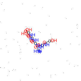 COc1nc(C(=O)Nc2ccc(C(=O)O)c(O)c2OC)ccc1NC(=O)c1ccc(NC(=O)[C@H](Cc2cnn[nH]2)NC(=O)c2ccc(NC(=O)/C(C)=C/c3ccc(O)cc3)cc2)cc1